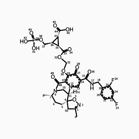 CC1=NO[C@@]2(CC[C@H](C)N3C[C@H]2n2cc(C(=O)NCc4ccc(F)cc4F)c(=O)c(OCOC(=O)[C@H]4[C@@H](COP(=O)(O)O)[C@@H]4C(=O)O)c2C3=O)C1